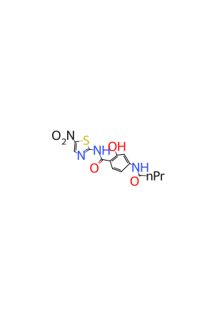 CCCC(=O)Nc1ccc(C(=O)Nc2ncc([N+](=O)[O-])s2)c(O)c1